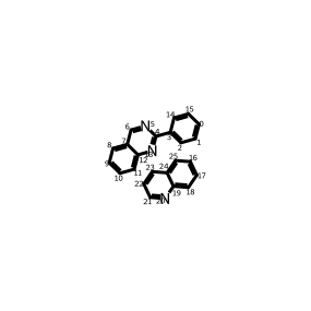 c1ccc(-c2ncc3ccccc3n2)cc1.c1ccc2ncccc2c1